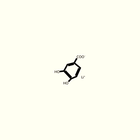 O=C([O-])c1ccc(O)c(O)c1.[Li+]